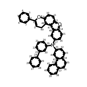 C1=C(c2ccccc2)Oc2ccc3oc4ccc(N(c5cccc(-c6ccccc6)c5)c5ccc6ccc7ccccc7c6c5)cc4c3c2C1